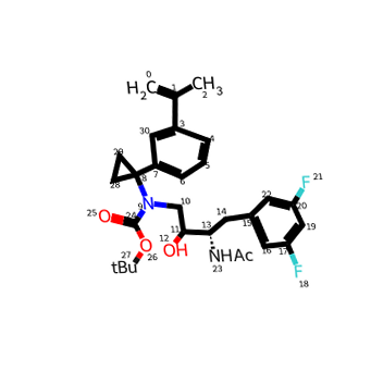 C=C(C)c1cccc(C2(N(CC(O)[C@H](Cc3cc(F)cc(F)c3)NC(C)=O)C(=O)OC(C)(C)C)CC2)c1